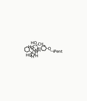 [2H]C([2H])([2H])[C@@](O)(C(=O)N[C@H](c1ccc(OCC(C)CCC)cc1)C(C)(C)O)c1ccccc1